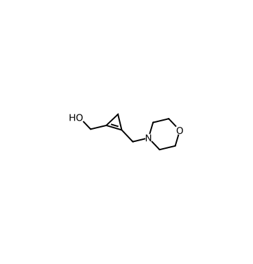 OCC1=C(CN2CCOCC2)C1